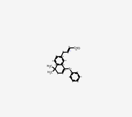 CC1(C)CC=C(Sc2ccccc2)c2cc(C/C=C/C=O)ccc21